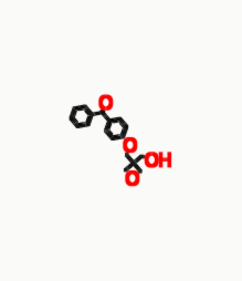 O=C(c1ccccc1)c1ccc(OCC2(CO)COC2)cc1